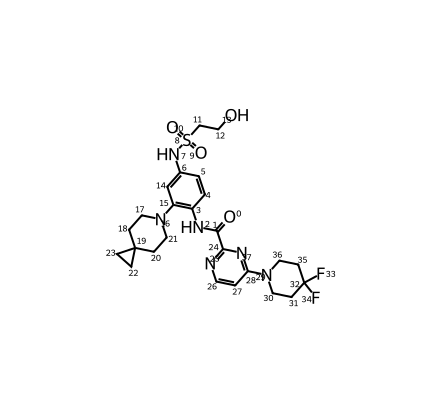 O=C(Nc1ccc(NS(=O)(=O)CCO)cc1N1CCC2(CC1)CC2)c1nccc(N2CCC(F)(F)CC2)n1